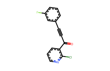 O=C(C#Cc1cccc(F)c1)c1cccnc1Cl